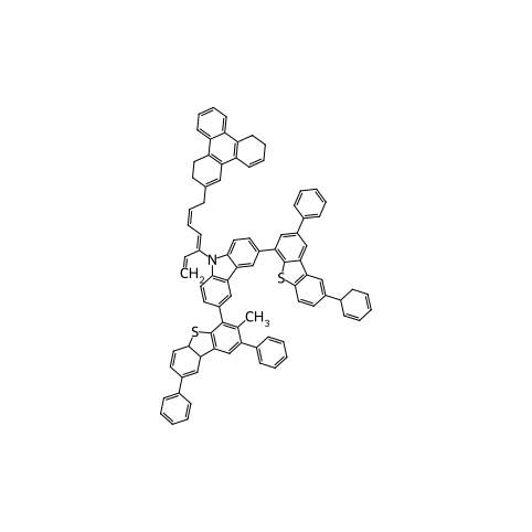 C=C/C(=C\C=C/CC1=Cc2c3c(c4ccccc4c2CC1)CCC=C3)n1c2ccc(-c3c(C)c(-c4ccccc4)cc4c3SC3C=CC(c5ccccc5)=CC43)cc2c2cc(-c3cc(-c4ccccc4)cc4c3sc3ccc(C5C=CC=CC5)cc34)ccc21